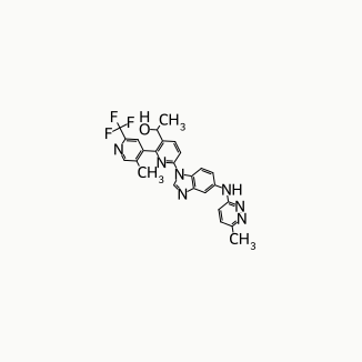 Cc1ccc(Nc2ccc3c(c2)ncn3-c2ccc(C(C)O)c(-c3cc(C(F)(F)F)ncc3C)n2)nn1